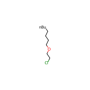 CCCCCCCCOCCCl